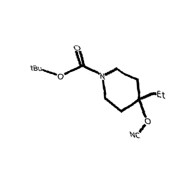 CCC1(OC#N)CCN(C(=O)OC(C)(C)C)CC1